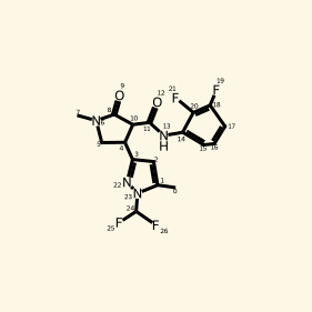 Cc1cc(C2CN(C)C(=O)C2C(=O)Nc2cccc(F)c2F)nn1C(F)F